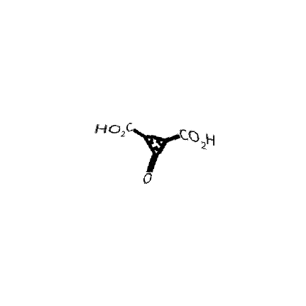 O=C(O)c1c(C(=O)O)c1=O